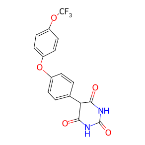 O=C1NC(=O)C(c2ccc(Oc3ccc(OC(F)(F)F)cc3)cc2)C(=O)N1